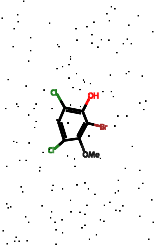 COc1c(Cl)cc(Cl)c(O)c1Br